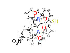 C[C@@]1(N(C(CCS)C(Cc2ccc([N+](=O)[O-])cc2)N([C@]2(C)CCCO2)[C@]2(C)CCCO2)[C@]2(C)CCCO2)CCCO1